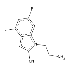 Cc1cc(F)cc2c1cc(C#N)n2CCN